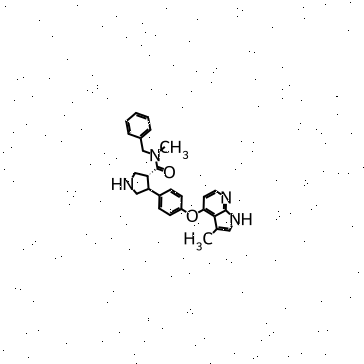 Cc1c[nH]c2nccc(Oc3ccc(C4CNC[C@@H]4C(=O)N(C)Cc4ccccc4)cc3)c12